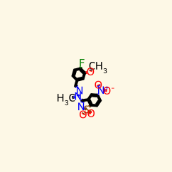 COc1cc(/C=N/N(C)C2=NS(=O)(=O)c3ccc([N+](=O)[O-])cc32)ccc1F